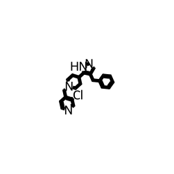 Clc1cnccc1CN1CCC(c2[nH]ncc2Cc2ccccc2)CC1